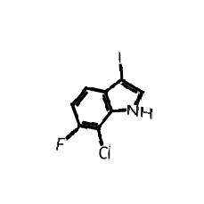 Fc1ccc2c(I)c[nH]c2c1Cl